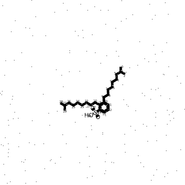 CC(C)CCCCCCCc1cccc(S(=O)(=O)O)c1CCCCCCCC(C)C